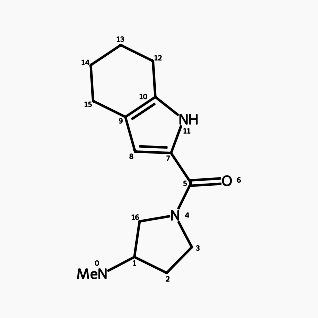 CNC1CCN(C(=O)c2cc3c([nH]2)CCCC3)C1